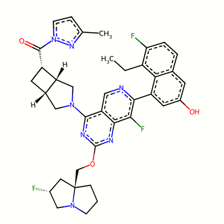 CCc1c(F)ccc2cc(O)cc(-c3ncc4c(N5C[C@@H]6C[C@H](C(=O)n7ccc(C)n7)[C@@H]6C5)nc(OC[C@@]56CCCN5C[C@H](F)C6)nc4c3F)c12